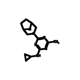 Cc1nc(NC2CC2)nc(N2CC3CCC(C2)O3)n1